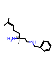 CC(C)=CCC[C@](C)(N)CCNCc1ccccc1